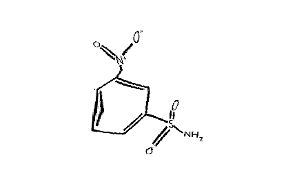 NS(=O)(=O)c1cc[c]c([N+](=O)[O-])c1